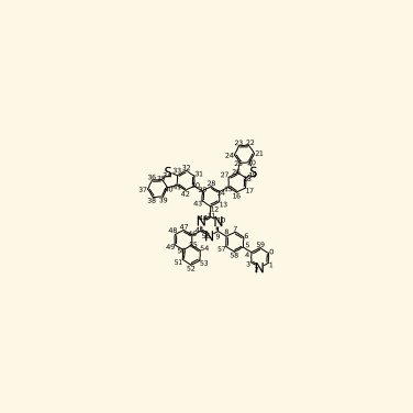 c1cncc(-c2ccc(-c3nc(-c4cc(-c5ccc6sc7ccccc7c6c5)cc(-c5ccc6sc7ccccc7c6c5)c4)nc(-c4cccc5ccccc45)n3)cc2)c1